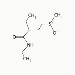 CCNC(=O)C(CC)CC[S+](C)[O-]